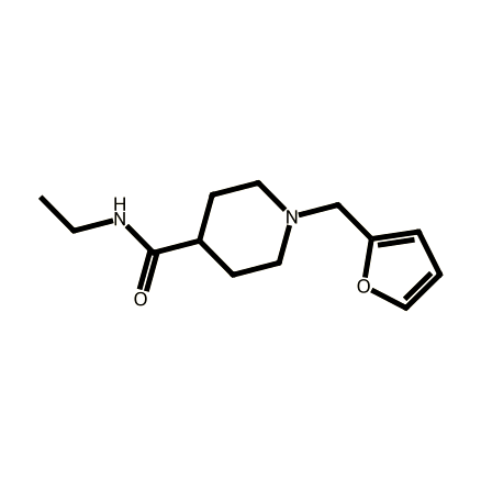 CCNC(=O)C1CCN(Cc2ccco2)CC1